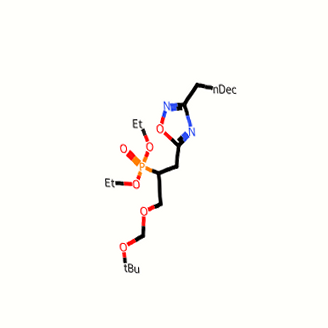 CCCCCCCCCCCc1noc(CC(COCOC(C)(C)C)P(=O)(OCC)OCC)n1